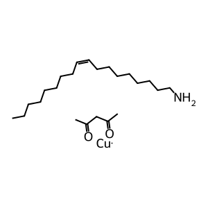 CC(=O)CC(C)=O.CCCCCCCC/C=C\CCCCCCCCN.[Cu]